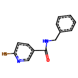 O=C(NCc1ccccc1)c1ccc(S)nc1